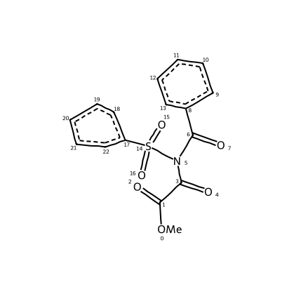 COC(=O)C(=O)N(C(=O)c1ccccc1)S(=O)(=O)c1ccccc1